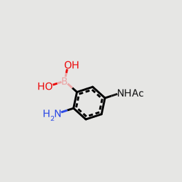 CC(=O)Nc1ccc(N)c(B(O)O)c1